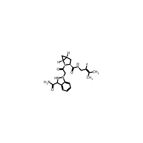 CC(C)=C(F)CNC(=O)[C@@H]1C[C@H]2C[C@H]2N1C(=O)CN1NC(C(N)=O)c2ccccc21